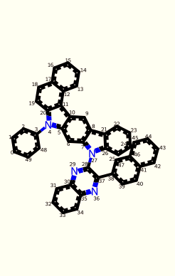 c1ccc(-n2c3cc4c(cc3c3c5ccccc5ccc32)c2ccccc2n4-c2nc3ccccc3nc2-c2ccc3ccccc3c2)cc1